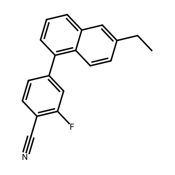 CCc1ccc2c(-c3ccc(C#N)c(F)c3)cccc2c1